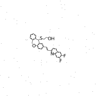 OCCSC1c2ccccc2COc2ccc(/C=C/c3ccc4cc(F)c(F)cc4n3)cc21